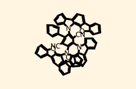 N#Cc1c(-c2ccccc2)c(-n2c3ccccc3c3ccc4c5ccccc5oc4c32)c(C#N)c(-n2c3ccccc3c3ccc4c5ccccc5oc4c32)c1-n1c2ccccc2c2ccc3c4ccccc4oc3c21